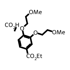 CC(=O)O.CCOC(=O)c1ccc(OCCOC)c(OCCOC)c1